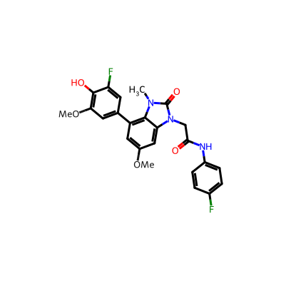 COc1cc(-c2cc(F)c(O)c(OC)c2)c2c(c1)n(CC(=O)Nc1ccc(F)cc1)c(=O)n2C